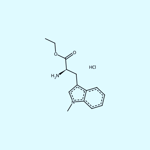 CCOC(=O)[C@H](N)Cc1cn(C)c2ccccc12.Cl